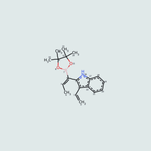 C=Cc1c(/C(=C\C)B2OC(C)(C)C(C)(C)O2)[nH]c2ccccc12